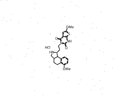 COc1cc2c(=O)n(CCC3NCC4CCc5c(OC)cccc5C43)c(=O)[nH]c2s1.Cl